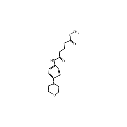 COC(=O)CCCC(=O)Nc1ccc(N2CCOCC2)cc1